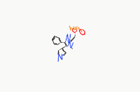 Cn1c(CO[PH](C)=O)nc(-c2ccccc2)c1-c1ccncc1